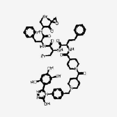 CC(C)CC(NC(=O)C(CCc1ccccc1)NC(=O)C1CCN(C(=O)C2CCN(Cc3ccc(-n4c(O)nnc4-c4cc(C(C)C)c(O)cc4O)cc3)CC2)CC1)C(=O)NC(Cc1ccccc1)C(=O)NC(CC(C)C)C(=O)C1(C)CO1